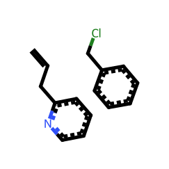 C=CCc1ccccn1.ClCc1ccccc1